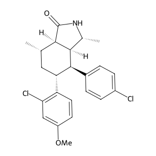 COc1ccc([C@@H]2C[C@H](C)[C@H]3C(=O)N[C@H](C)[C@H]3[C@H]2c2ccc(Cl)cc2)c(Cl)c1